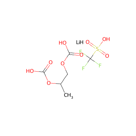 CC(COC(=O)O)OC(=O)O.O=S(=O)(O)C(F)(F)F.[LiH]